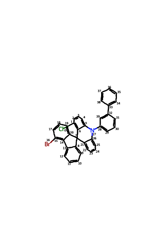 Clc1cccc2c1C1(c3ccccc3-c3c(Br)cccc31)c1ccccc1N2c1cccc(-c2ccccc2)c1